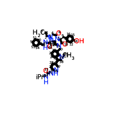 C=CCN1CC(=O)N2[C@@H](Cc3ccc(O)cc3)C(=O)N(Cc3cccc4c(-c5ccc(NC(=O)NC(C)C)nc5)cn(C)c34)C[C@@H]2N1C(=O)NCc1ccccc1